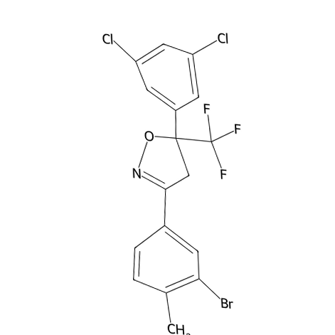 Cc1ccc(C2=NOC(c3cc(Cl)cc(Cl)c3)(C(F)(F)F)C2)cc1Br